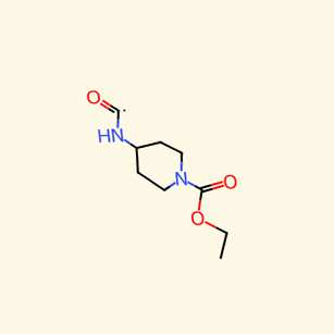 CCOC(=O)N1CCC(N[C]=O)CC1